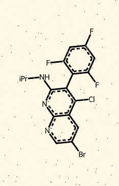 CC(C)Nc1nc2ncc(Br)cc2c(Cl)c1-c1c(F)cc(F)cc1F